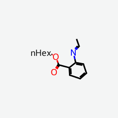 CC=Nc1ccccc1C(=O)OCCCCCC